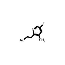 CC(=O)CCc1ncc(F)cc1C